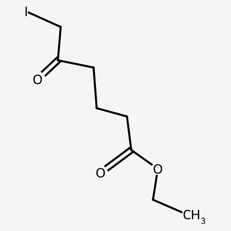 CCOC(=O)CCCC(=O)CI